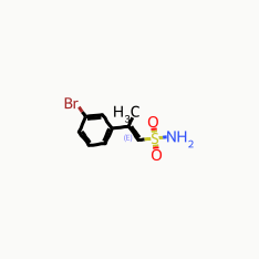 C/C(=C\S(N)(=O)=O)c1cccc(Br)c1